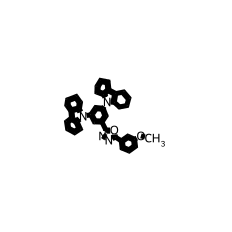 COc1cccc(-c2nnc(-c3cc(-n4c5c(c6ccccc64)C=CCC5)cc(-n4c5ccccc5c5ccccc54)c3)o2)c1